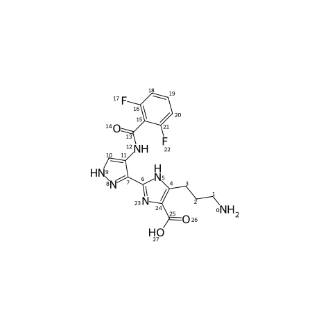 NCCCc1[nH]c(-c2n[nH]cc2NC(=O)c2c(F)cccc2F)nc1C(=O)O